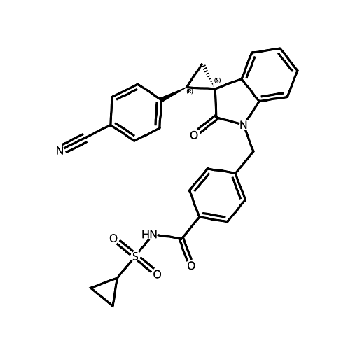 N#Cc1ccc([C@H]2C[C@]23C(=O)N(Cc2ccc(C(=O)NS(=O)(=O)C4CC4)cc2)c2ccccc23)cc1